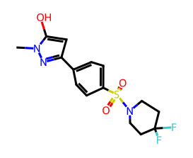 Cn1nc(-c2ccc(S(=O)(=O)N3CCC(F)(F)CC3)cc2)cc1O